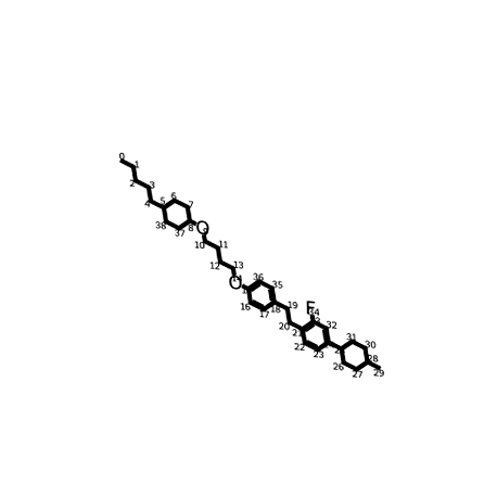 CCCCCC1CCC(OCCCCOc2ccc(CCc3ccc(C4CCC(C)CC4)cc3F)cc2)CC1